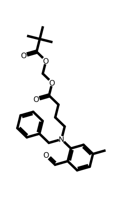 Cc1ccc(C=O)c(N(CCCC(=O)OCOC(=O)C(C)(C)C)Cc2ccccc2)c1